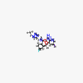 CC(C)Cn1cc(CN(C)C(=O)c2ccc(F)cc2[C@@H](C)Oc2cc(I)cnc2N)nn1